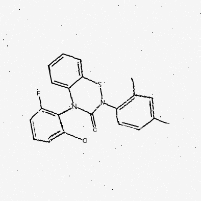 Cc1ccc(N2Sc3ccccc3N(c3c(F)cccc3Cl)C2=O)c(C)c1